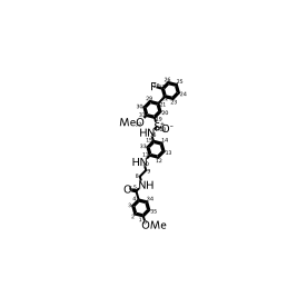 COc1ccc(C(=O)NCCNc2cccc(N[S+]([O-])c3cc(-c4ccccc4F)ccc3OC)c2)cc1